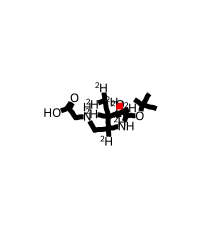 [2H]C([2H])([2H])C([2H])(C([2H])([2H])[2H])C([2H])(CNCC(=O)O)NC(=O)OC(C)(C)C